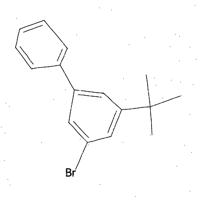 CC(C)(C)c1cc(Br)cc(-c2ccccc2)c1